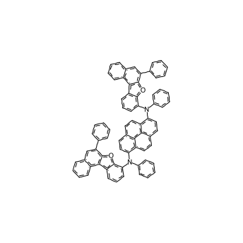 c1ccc(-c2cc3ccccc3c3c2oc2c(N(c4ccccc4)c4ccc5ccc6c(N(c7ccccc7)c7cccc8c7oc7c(-c9ccccc9)cc9ccccc9c78)ccc7ccc4c5c76)cccc23)cc1